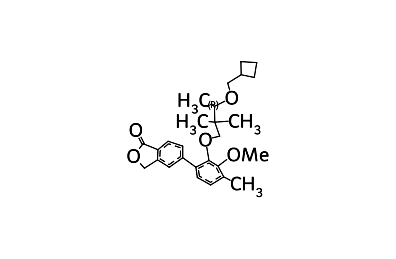 COc1c(C)ccc(-c2ccc3c(c2)COC3=O)c1OCC(C)(C)[C@@H](C)OCC1CCC1